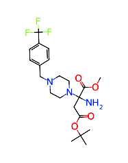 COC(=O)C(N)(CC(=O)OC(C)(C)C)N1CCN(Cc2ccc(C(F)(F)F)cc2)CC1